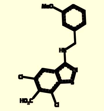 COc1cccc(CNc2nsc3c(Cl)c(C(=O)O)c(Cl)cc23)c1